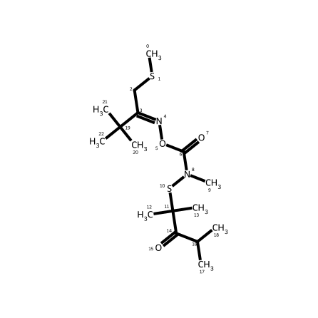 CSCC(=NOC(=O)N(C)SC(C)(C)C(=O)C(C)C)C(C)(C)C